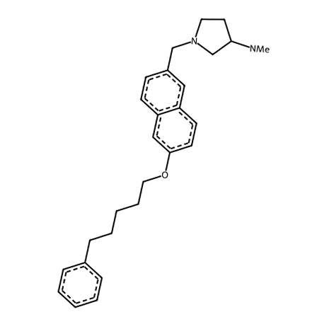 CNC1CCN(Cc2ccc3cc(OCCCCCc4ccccc4)ccc3c2)C1